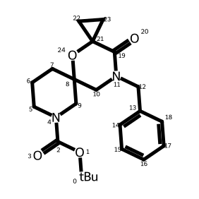 CC(C)(C)OC(=O)N1CCCC2(C1)CN(Cc1ccccc1)C(=O)C1(CC1)O2